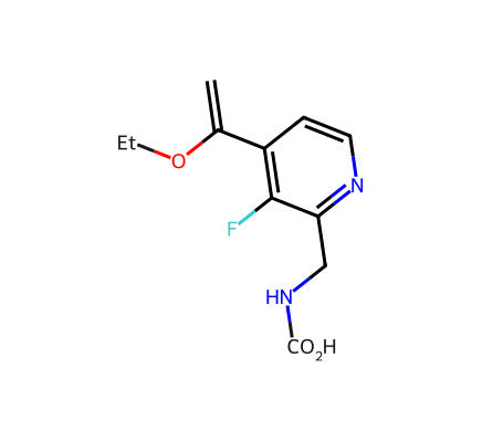 C=C(OCC)c1ccnc(CNC(=O)O)c1F